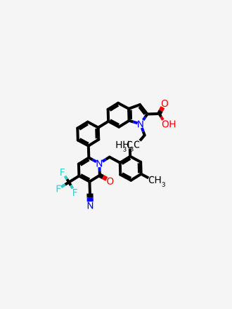 CCn1c(C(=O)O)cc2ccc(-c3cccc(-c4cc(C(F)(F)F)c(C#N)c(=O)n4Cc4ccc(C)cc4C)c3)cc21